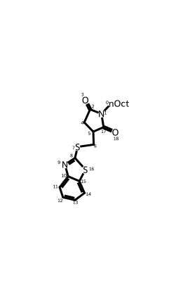 CCCCCCCCN1C(=O)CC(CSc2nc3ccccc3s2)C1=O